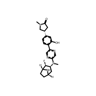 CN1C[C@@H](c2ccc(-c3cnc(N(C)[C@H]4C[C@@H]5CC[C@@H](N5)[C@H]4F)cn3)c(O)c2)CC1=O